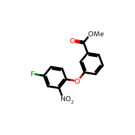 COC(=O)c1cccc(Oc2ccc(F)cc2[N+](=O)[O-])c1